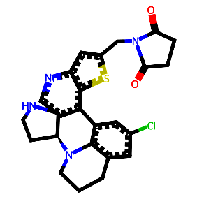 O=C1CCC(=O)N1Cc1cc2nccc(-c3cc(Cl)cc4c3N([C@H]3CCNC3)CCC4)c2s1